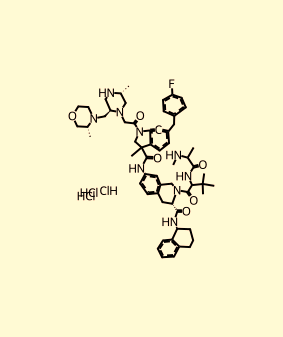 CNC(C)C(=O)NC(C(=O)N1Cc2cc(NC(=O)C3(C)CN(C(=O)CN4C[C@@H](C)NC[C@@H]4CN4CCOC[C@H]4C)c4cc(Cc5ccc(F)cc5)ccc43)ccc2C[C@H]1C(=O)N[C@@H]1CCCc2ccccc21)C(C)(C)C.Cl.Cl.Cl